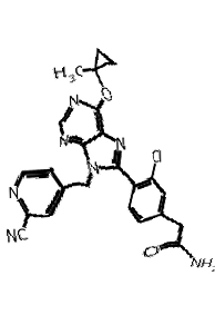 CC1(Oc2ncnc3c2nc(-c2ccc(CC(N)=O)cc2Cl)n3Cc2ccnc(C#N)c2)CC1